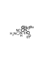 CCOc1ccc(N(C(=O)OC(C)(C)C)c2c(CC)c(N[C@H]3CC[C@H](N)CC3)c(C#N)c3ccnn23)cc1